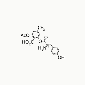 CC(=O)Oc1cc(C(F)(F)F)cc(OC(=O)[C@@H](N)Cc2ccc(O)cc2)c1C(=O)O